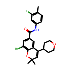 Cc1ccc(NC(=O)c2cc(Br)c3c(c2)C(C2CCOCC2)=CC(C)(C)O3)cc1F